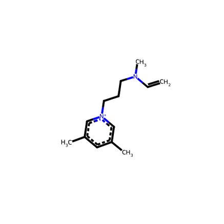 C=CN(C)CCC[n+]1cc(C)cc(C)c1